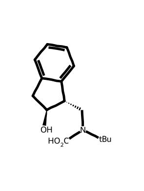 CC(C)(C)N(C[C@H]1c2ccccc2C[C@@H]1O)C(=O)O